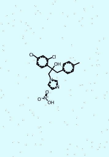 Cc1ccc(CC(O)(Cn2ccnc2)c2ccc(Cl)cc2Cl)cc1.O=[N+]([O-])O